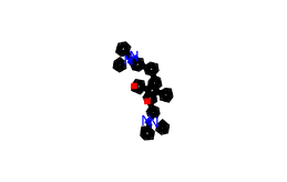 c1ccc(-c2c3ccc(-c4ccc5c(c4)nc(-c4ccccc4)n5-c4ccccc4)cc3c(-c3ccccc3)c3ccc(-c4cccc(-c5ccc6c(c5)nc(-c5ccccc5)n6-c5ccccc5)c4)cc23)cc1